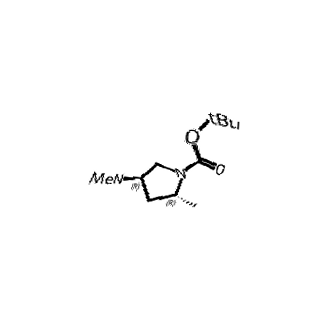 CN[C@@H]1C[C@@H](C)N(C(=O)OC(C)(C)C)C1